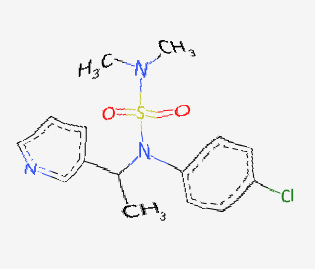 CC(c1cccnc1)N(c1ccc(Cl)cc1)S(=O)(=O)N(C)C